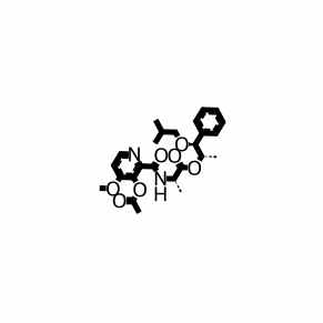 COc1ccnc(C(=O)N[C@@H](C)C(=O)O[C@@H](C)[C@@H](OCC(C)C)c2ccccc2)c1OC(C)=O